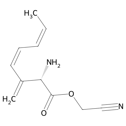 C=C(/C=C\C=C/C)[C@H](N)C(=O)OCC#N